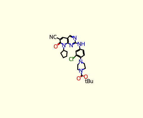 CC(C)(C)OC(=O)N1CCN(c2ccc(Nc3ncc4cc(C#N)c(=O)n(C5CCCC5)c4n3)cc2Cl)CC1